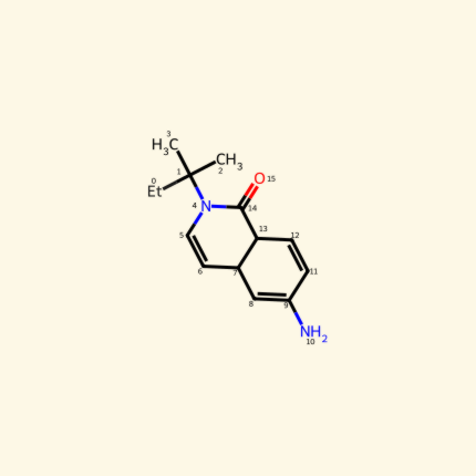 CCC(C)(C)N1C=CC2C=C(N)C=CC2C1=O